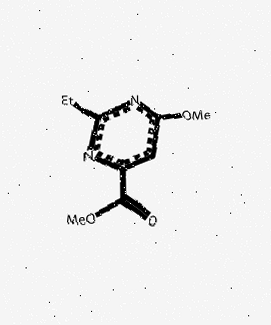 CCc1nc(OC)cc(C(=O)OC)n1